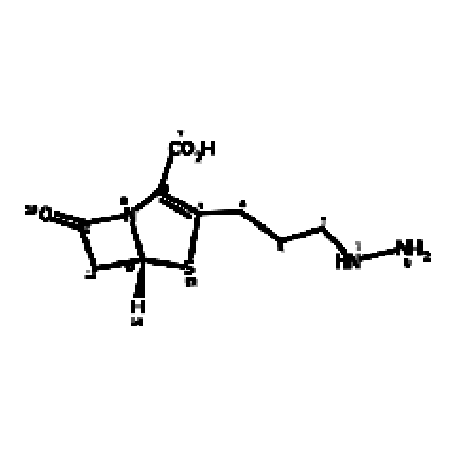 NNCCCC1=C(C(=O)O)N2C(=O)C[C@H]2S1